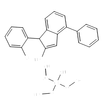 C[O][Hf]([SH])([O]C)[O]C.[CH2]c1ccccc1C1C(C)=Cc2c(-c3ccccc3)cccc21